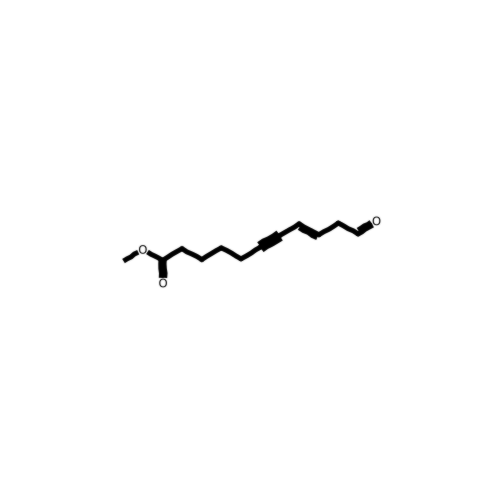 COC(=O)CCCCC#C/C=C/CC=O